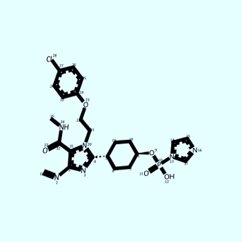 C=Nc1nc([C@H]2CC[C@H](OP(=O)(O)n3ccnc3)CC2)n(CCOc2ccc(Cl)cc2)c1C(=O)NC